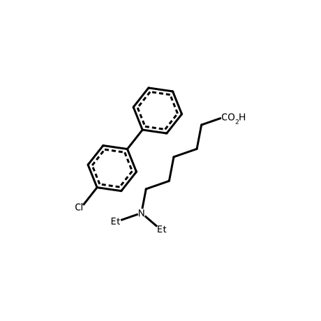 CCN(CC)CCCCCC(=O)O.Clc1ccc(-c2ccccc2)cc1